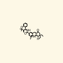 C=C1[C@H](NC(=O)c2cc(F)cc(CN3C(=N)NC(CC)(CC)CC3=O)c2)c2ccccc2OC1(C)C